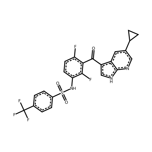 O=C(c1c(F)ccc(NS(=O)(=O)c2ccc(C(F)(F)F)cc2)c1F)c1c[nH]c2ncc(C3CC3)cc12